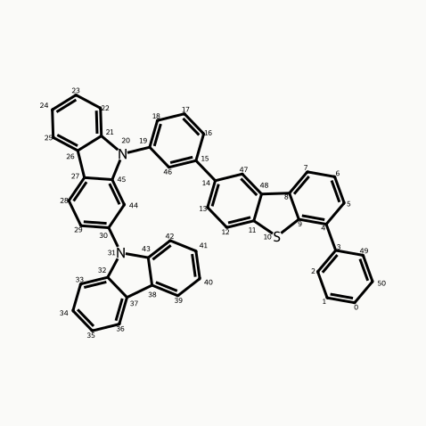 c1ccc(-c2cccc3c2sc2ccc(-c4cccc(-n5c6ccccc6c6ccc(-n7c8ccccc8c8ccccc87)cc65)c4)cc23)cc1